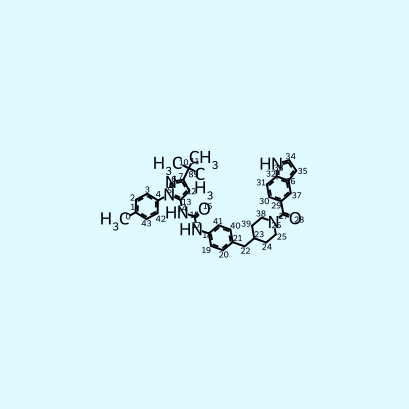 Cc1ccc(-n2nc(C(C)(C)C)cc2NC(=O)Nc2ccc(CC3CCN(C(=O)c4ccc5[nH]ccc5c4)CC3)cc2)cc1